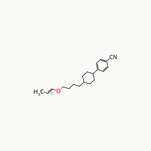 C/C=C/OCCCCC1CCC(c2ccc(C#N)cc2)CC1